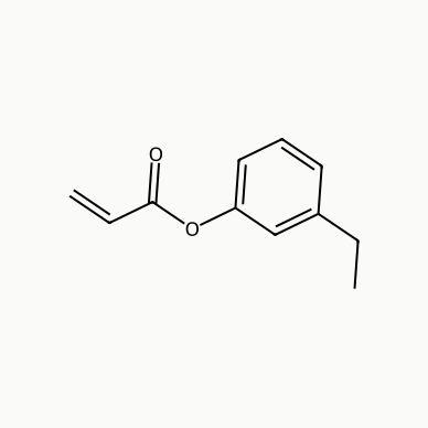 C=CC(=O)Oc1cccc(CC)c1